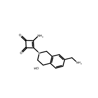 Cl.NCc1ccc2c(c1)CN(c1c(N)c(=O)c1=O)CC2